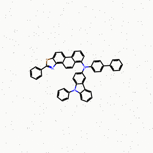 c1ccc(-c2ccc(N(c3ccc4c(c3)c3ccccc3n4-c3ccccc3)c3cccc4c3ccc3c4ccc4sc(-c5ccccc5)nc43)cc2)cc1